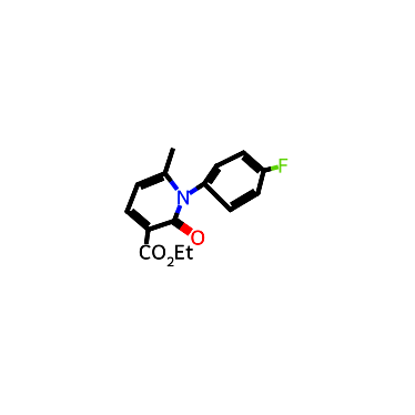 CCOC(=O)c1ccc(C)n(-c2ccc(F)cc2)c1=O